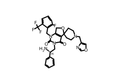 N[C@@H](Cn1c(=O)c2c(n(Cc3c(F)cccc3C(F)(F)F)c1=O)COC21CCN(Cc2cocn2)CC1)c1ccccc1